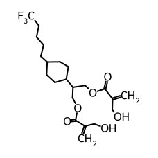 C=C(CO)C(=O)OCC(COC(=O)C(=C)CO)C1CCC(CCCCC(F)(F)F)CC1